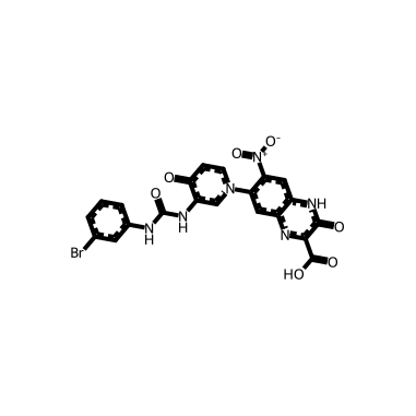 O=C(Nc1cccc(Br)c1)Nc1cn(-c2cc3nc(C(=O)O)c(=O)[nH]c3cc2[N+](=O)[O-])ccc1=O